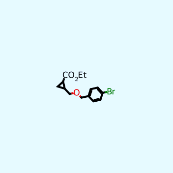 CCOC(=O)C1CC1COCc1ccc(Br)cc1